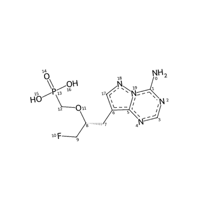 Nc1ncnc2c(C[C@H](CF)OCP(=O)(O)O)cnn12